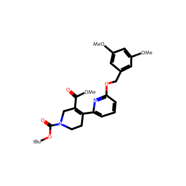 COC(=O)C1=C(c2cccc(OCc3cc(OC)cc(OC)c3)n2)CCN(C(=O)OC(C)(C)C)C1